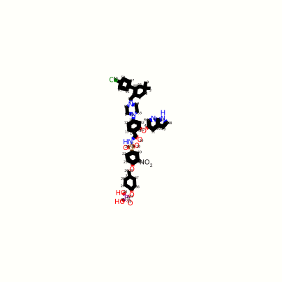 CC1(C)CCC(CN2CCN(c3ccc(C(=O)NS(=O)(=O)c4ccc(OCC5CCC(OP(=O)(O)O)CC5)c([N+](=O)[O-])c4)c(Oc4cnc5[nH]ccc5c4)c3)CC2)=C(c2ccc(Cl)cc2)C1